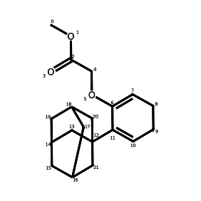 COC(=O)COC1=CC[CH]C=C1C12CC3CC(CC(C3)C1)C2